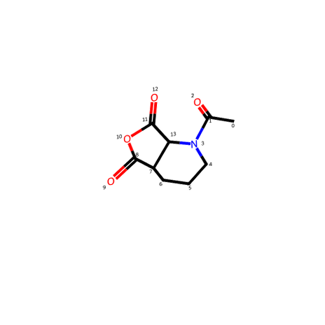 CC(=O)N1CCCC2C(=O)OC(=O)C21